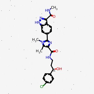 CNC(=O)c1n[nH]c2cc(-c3nc(C(=O)NCC[C@@H](O)c4ccc(Cl)cc4)c(C)n3C)ccc12